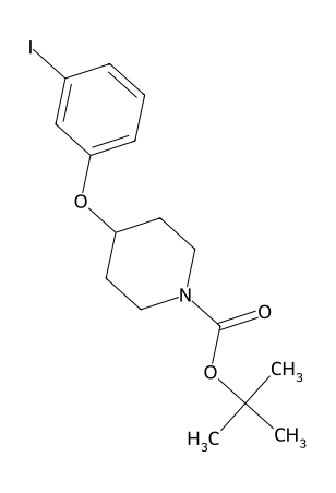 CC(C)(C)OC(=O)N1CCC(Oc2cccc(I)c2)CC1